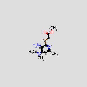 COC(=O)CSc1nc(C)cc(N(C)C)c1N